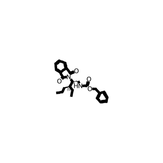 CCC[C@H](CC)[C@@H](CNC(=O)OCc1ccccc1)N1C(=O)c2ccccc2C1=O